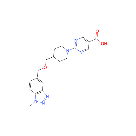 Cn1nnc2cc(COCC3CCN(c4ncc(C(=O)O)cn4)CC3)ccc21